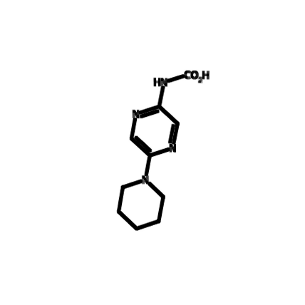 O=C(O)Nc1cnc(N2CCCCC2)cn1